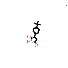 CC(C)(C)c1ccc(C2CC(=O)NC2=O)cc1